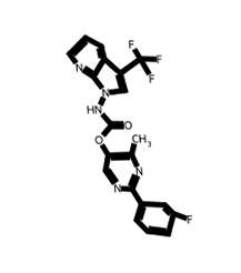 Cc1nc(-c2cccc(F)c2)ncc1OC(=O)Nn1cc(C(F)(F)F)c2cccnc21